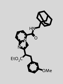 CCOC(=O)C(Cc1cccc(OC)c1)c1cn2c(C(=O)NCC34CC5CC(CC(C5)C3)C4)cccc2n1